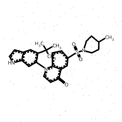 CC1CCN(S(=O)(=O)c2ccc3c(c2)c(=O)ccn3-c2cc3[nH]ccc3cc2C(C)(C)C)CC1